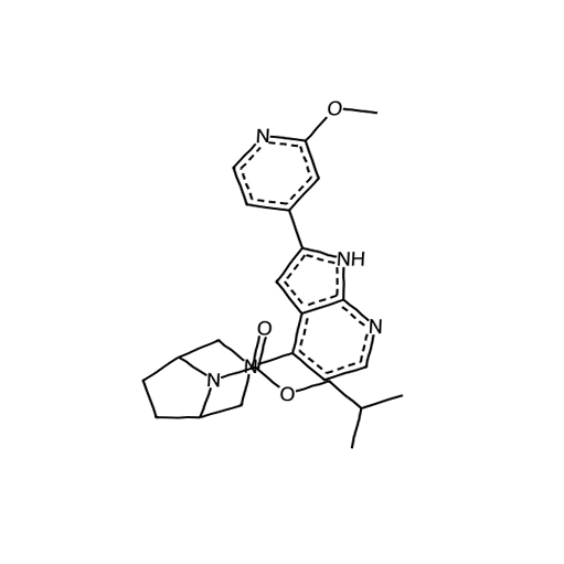 COc1cc(-c2cc3c(N4CC5CCC(C4)N5C(=O)OCC(C)C)ccnc3[nH]2)ccn1